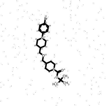 CC(C)(C)OC(=O)N1CCC(COCC2CCN(c3ccc(Br)cc3)CC2)CC1